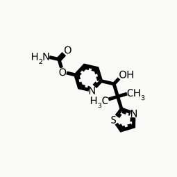 CC(C)(c1nccs1)C(O)c1ccc(OC(N)=O)cn1